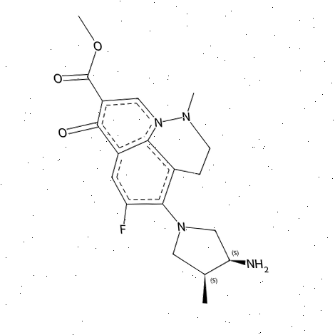 COC(=O)c1cn2c3c(c(N4C[C@@H](N)[C@@H](C)C4)c(F)cc3c1=O)CCN2C